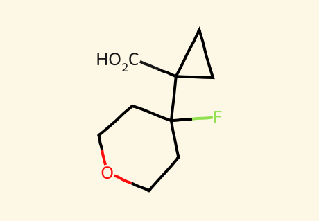 O=C(O)C1(C2(F)CCOCC2)CC1